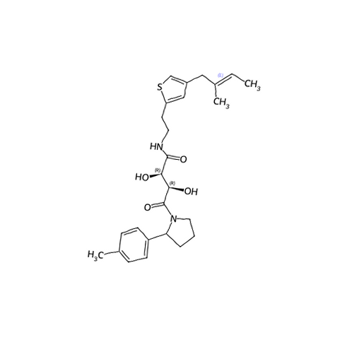 C/C=C(\C)Cc1csc(CCNC(=O)[C@H](O)[C@@H](O)C(=O)N2CCCC2c2ccc(C)cc2)c1